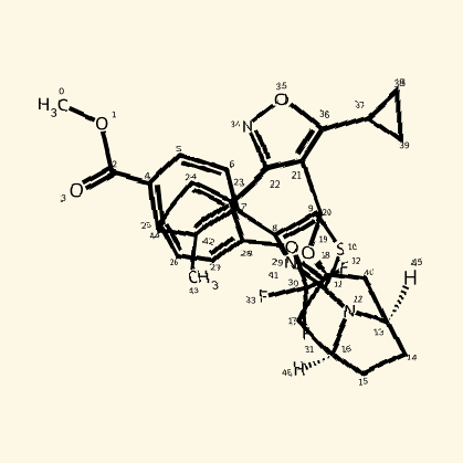 COC(=O)c1ccc(-c2csc(N3[C@@H]4CC[C@H]3C[C@@H](OCc3c(-c5ccccc5OC(F)(F)F)noc3C3CC3)C4)n2)c(C)c1